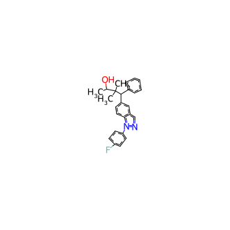 CC(O)C(C)(C)C(c1ccccc1)c1ccc2c(cnn2-c2ccc(F)cc2)c1